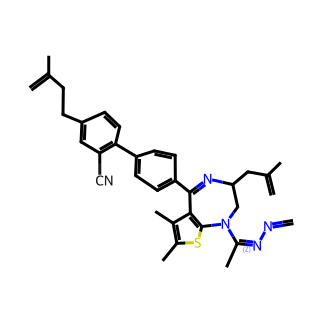 C=N/N=C(/C)N1CC(CC(=C)C)N=C(c2ccc(-c3ccc(CCC(=C)C)cc3C#N)cc2)c2c1sc(C)c2C